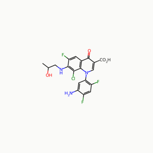 CC(O)CNc1c(F)cc2c(=O)c(C(=O)O)cn(-c3cc(N)c(F)cc3F)c2c1Cl